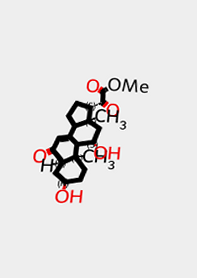 COC(=O)C(=O)[C@H]1CCC2C3=CC(=O)[C@@H]4C[C@H](O)CC[C@]4(C)C3[C@@H](O)C[C@@]21C